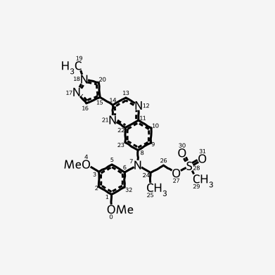 COc1cc(OC)cc(N(c2ccc3ncc(-c4cnn(C)c4)nc3c2)C(C)COS(C)(=O)=O)c1